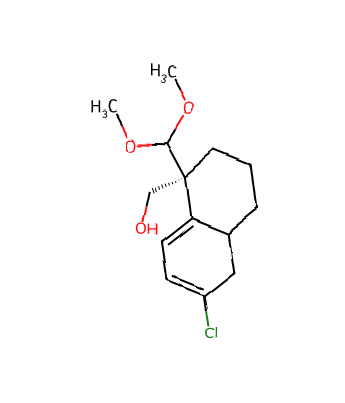 COC(OC)[C@@]1(CO)CCCC2CC(Cl)=CC=C21